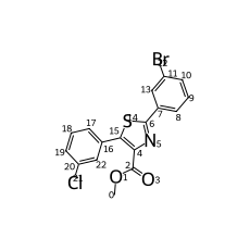 COC(=O)c1nc(-c2cccc(Br)c2)sc1-c1cccc(Cl)c1